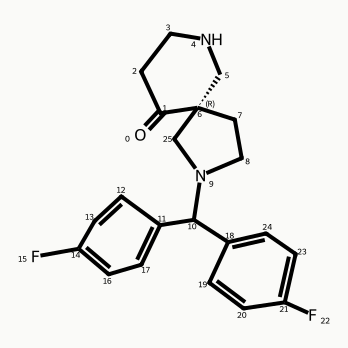 O=C1CCNC[C@@]12CCN(C(c1ccc(F)cc1)c1ccc(F)cc1)C2